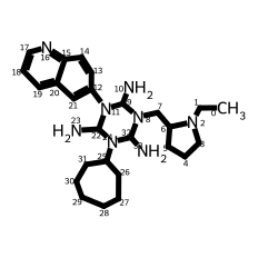 CCN1CCCC1CN1C(N)N(c2ccc3ncccc3c2)C(N)N(C2CCCCCC2)C1N